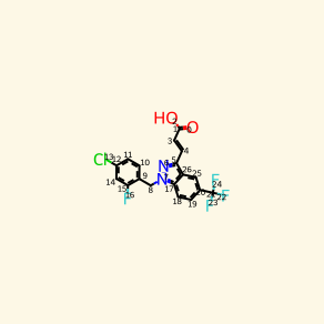 O=C(O)C=Cc1nn(Cc2ccc(Cl)cc2F)c2ccc(C(F)(F)F)cc12